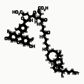 Cc1cc(C(=O)N[C@@H](CCC(=O)O)C(=O)N[C@@H](CCC(=O)O)C(=O)NCCC(=O)NCCCN[C@@H]2CCC[C@@H]3C(CCC4(C)C([C@H](C)CCCC(C)C)CC[C@@H]34)C(C)(C)CC2)ccc1-c1c2cc(F)c(=O)cc-2oc2cc(O)c(F)cc12